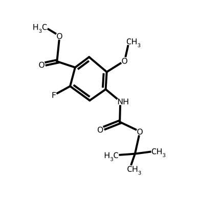 COC(=O)c1cc(OC)c(NC(=O)OC(C)(C)C)cc1F